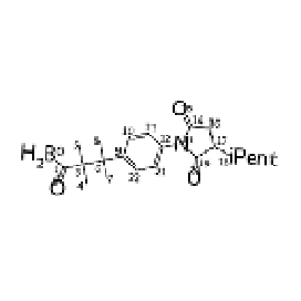 BC(=O)C(C)(C)C(C)(C)c1ccc(N2C(=O)CC(C(C)CCC)C2=O)cc1